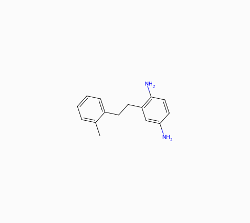 Cc1ccccc1CCc1cc(N)ccc1N